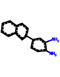 Nc1ccc(-c2ccc3ccccc3c2)cc1N